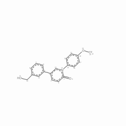 O=c1ccc(-c2cccc(CO)c2)cn1-c1ccc(OC(F)(F)F)cc1